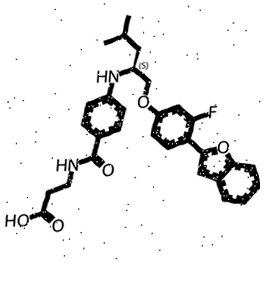 CC(C)C[C@@H](COc1ccc(-c2cc3ccccc3o2)c(F)c1)Nc1ccc(C(=O)NCCC(=O)O)cc1